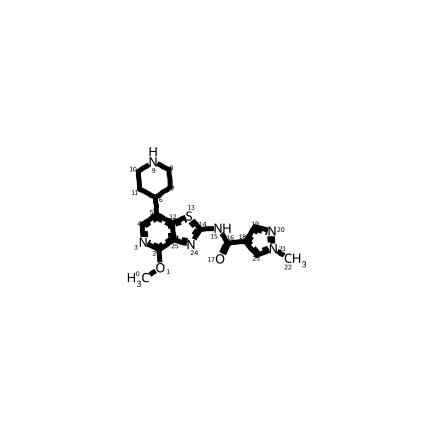 COc1ncc(C2CCNCC2)c2sc(NC(=O)c3cnn(C)c3)nc12